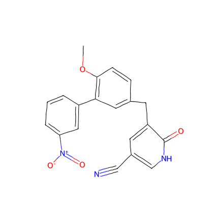 COc1ccc(Cc2cc(C#N)c[nH]c2=O)cc1-c1cccc([N+](=O)[O-])c1